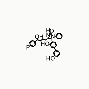 O=C1N[C@H](CCC[C@@H](O)c2ccc(F)cc2)[C@@H](c2ccc(-c3cccc(O)c3)cc2O)N1c1ccccc1